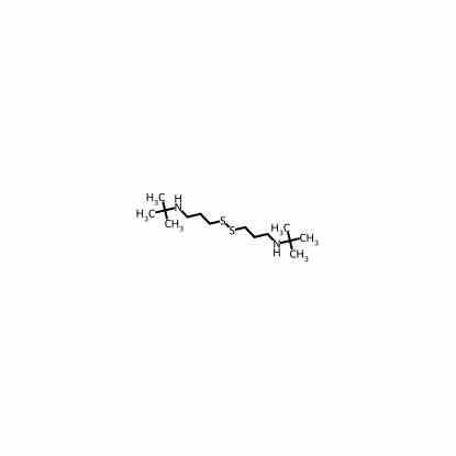 CC(C)(C)NCCCSSCCCNC(C)(C)C